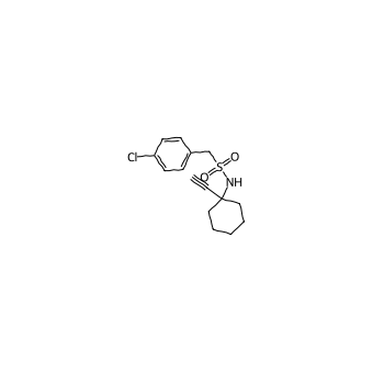 C#CC1(NS(=O)(=O)Cc2ccc(Cl)cc2)CCCCC1